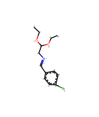 CCOC(C/N=C/c1ccc(Br)cc1)OCC